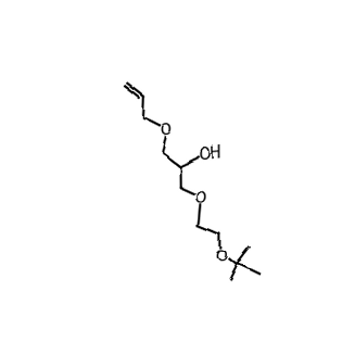 C=CCOCC(O)COCCOC(C)(C)C